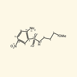 COCCCNS(=O)(=O)c1cc([N+](=O)[O-])ccc1N